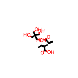 C=CC(=O)O.CC=C(C)C(=O)O.OCC(CO)(CO)CO